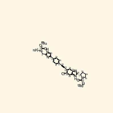 CCCN(Cc1nc(-c2ccc(C#Cc3cc4nc([C@@H]5CCCN5C(=O)OC(C)(C)C)[nH]c4cc3Cl)cc2)c[nH]1)C(=O)OC(C)(C)C